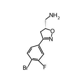 NC[C@H]1CC(c2ccc(Br)c(F)c2)=NO1